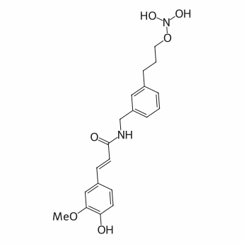 COc1cc(/C=C/C(=O)NCc2cccc(CCCON(O)O)c2)ccc1O